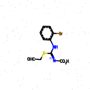 O=CCS/C(=N/C(=O)O)Nc1ccccc1Br